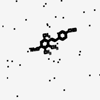 COc1cc(C)c(/C=C/c2ccc(C=O)cc2)c(C)c1C